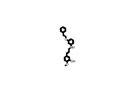 COc1ccc(/C=C/CNc2cccc(OCCc3ccccc3)c2)cc1O